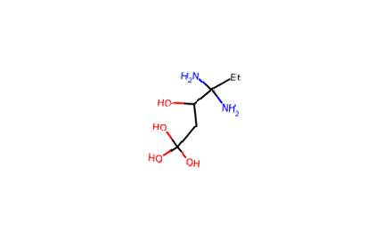 CCC(N)(N)C(O)CC(O)(O)O